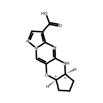 O=C(O)c1cnn2cc3c(nc12)N[C@H]1CCC[C@H]1O3